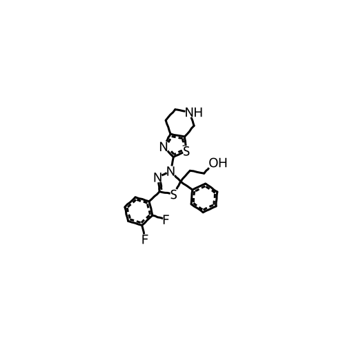 OCCC1(c2ccccc2)SC(c2cccc(F)c2F)=NN1c1nc2c(s1)CNCC2